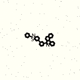 c1ccc(-c2nc3ccc(-c4cccc(-c5nc6ccccc6c6c5ccc5ccccc56)c4)cc3s2)cc1